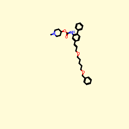 CN1CCC(OC(=O)Nc2cc(/C=C/COCCCCCOCc3ccccc3)ccc2-c2ccccc2)CC1